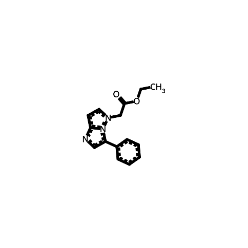 CCOC(=O)Cn1ccc2ncc(-c3ccccc3)n21